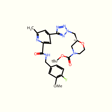 COc1cc(CNC(=O)c2cc(-c3nnn(C[C@@H]4CN(C(=O)OC(C)(C)C)CCO4)n3)cc(C)n2)ccc1F